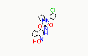 O=C1C(N[C@H](Cc2ccccc2)C(=O)Nc2cccc(Cl)c2)=C/C(=N/O)c2ccccc21